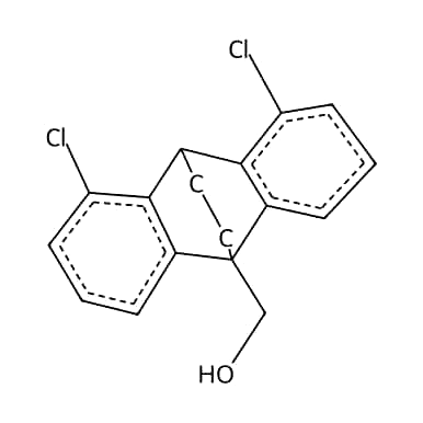 OCC12CCC(c3c(Cl)cccc31)c1c(Cl)cccc12